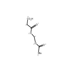 CC(C)(C)C(=O)OCOC(=O)CC(=O)O